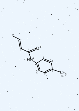 CC=CC(=O)Nc1ccc(C(F)(F)F)cc1